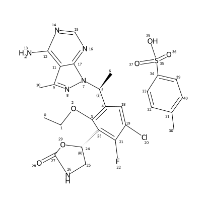 CCOc1c([C@H](C)n2nc(C)c3c(N)ncnc32)cc(Cl)c(F)c1[C@@H]1CNC(=O)O1.Cc1ccc(S(=O)(=O)O)cc1